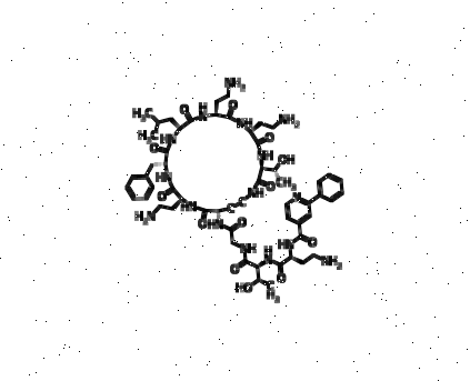 CC(C)C[C@@H]1NC(=O)[C@@H](Cc2ccccc2)NC(=O)[C@H](CCN)NC(=O)[C@@H](NC(=O)CNC(=O)[C@@H](NC(=O)[C@H](CCN)NC(=O)c2ccnc(-c3ccccc3)c2)[C@@H](C)O)CCNC(=O)[C@H]([C@@H](C)O)NC(=O)[C@H](CCN)NC(=O)[C@H](CCN)NC1=O